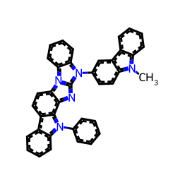 Cn1c2ccccc2c2cc(-n3c4ccccc4n4c5ccc6c7ccccc7n(-c7ccccc7)c6c5nc34)ccc21